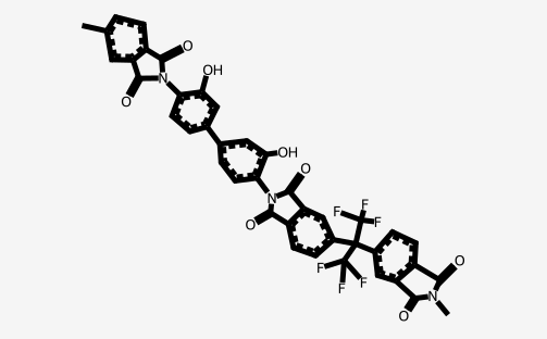 Cc1ccc2c(c1)C(=O)N(c1ccc(-c3ccc(N4C(=O)c5ccc(C(c6ccc7c(c6)C(=O)N(C)C7=O)(C(F)(F)F)C(F)(F)F)cc5C4=O)c(O)c3)cc1O)C2=O